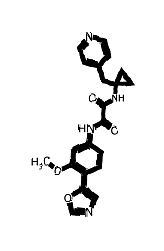 COc1cc(NC(=O)C(=O)NC2(Cc3ccncc3)CC2)ccc1-c1cnco1